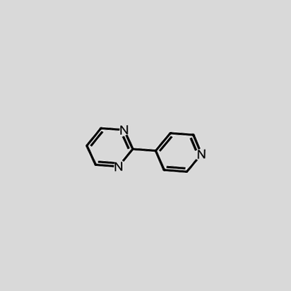 c1cnc(-c2ccncc2)nc1